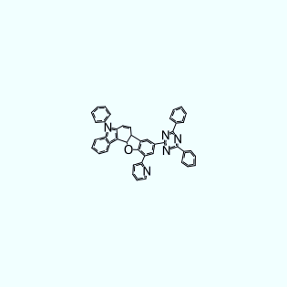 C1=CC2c3cc(-c4nc(-c5ccccc5)nc(-c5ccccc5)n4)cc(-c4ccccn4)c3OC2c2c1n(-c1ccccc1)c1ccccc21